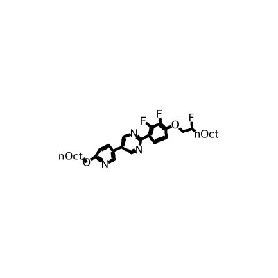 CCCCCCCCOc1ccc(-c2cnc(-c3ccc(OCC(F)CCCCCCCC)c(F)c3F)nc2)cn1